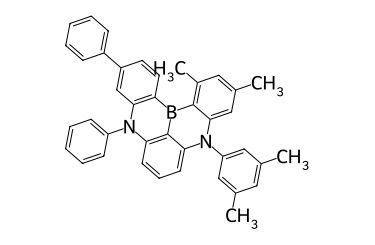 Cc1cc(C)cc(N2c3cc(C)cc(C)c3B3c4ccc(-c5ccccc5)cc4N(c4ccccc4)c4cccc2c43)c1